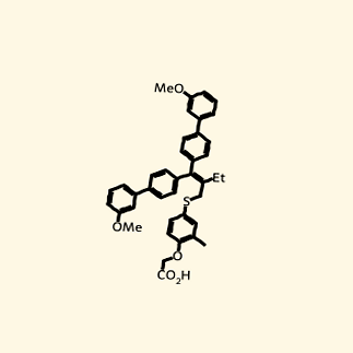 CCC(CSc1ccc(OCC(=O)O)c(C)c1)=C(c1ccc(-c2cccc(OC)c2)cc1)c1ccc(-c2cccc(OC)c2)cc1